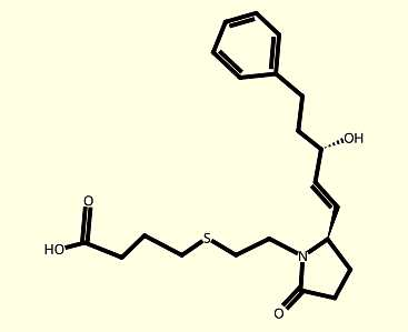 O=C(O)CCCSCCN1C(=O)CC[C@@H]1/C=C/[C@@H](O)CCc1ccccc1